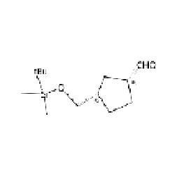 CC(C)(C)[Si](C)(C)OC[C@H]1CC[C@@H](C=O)C1